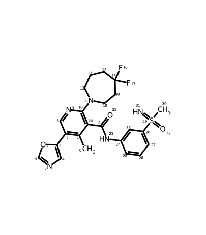 Cc1c(-c2cnco2)cnc(N2CCCC(F)(F)CC2)c1C(=O)Nc1cccc(S(C)(=N)=O)c1